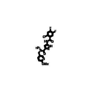 CCCN(Cc1ccc(OC)nc1)C(=O)c1cc(NC(=O)c2cc(F)c(F)cc2Cl)[nH]n1